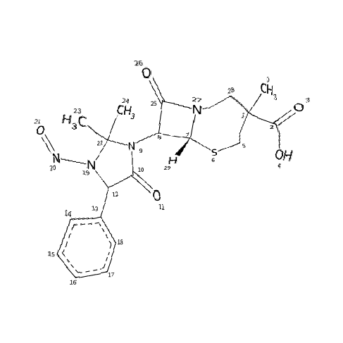 CC1(C(=O)O)CS[C@@H]2C(N3C(=O)C(c4ccccc4)N(N=O)C3(C)C)C(=O)N2C1